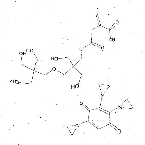 C=C(CC(=O)OCC(CO)(CO)COCC(CO)(CO)CO)C(=O)O.O=C1C=C(N2CC2)C(=O)C(N2CC2)=C1N1CC1